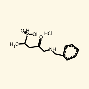 CC(CC(=O)CNCc1ccccc1)[PH](=O)O.Cl